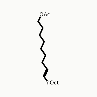 CCCCCCCC/C=C/CCCCCCCOC(C)=O